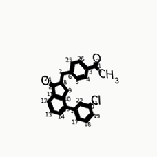 CC(=O)c1ccc(CC2Cc3c(cccc3-c3cccc(Cl)c3)C2=O)cc1